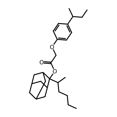 CCCCC(C)C1(OC(=O)COc2ccc(C(C)CC)cc2)C2CC3CC(C2)CC1C3